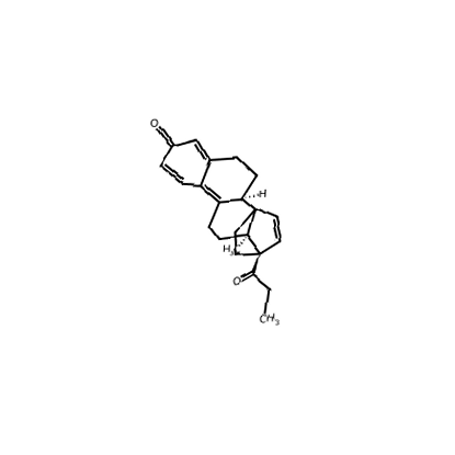 CCC(=O)[C@@]12C=CC3(CC1)[C@@H]1CCC4=CC(=O)C=CC4=C1CC[C@@]32C